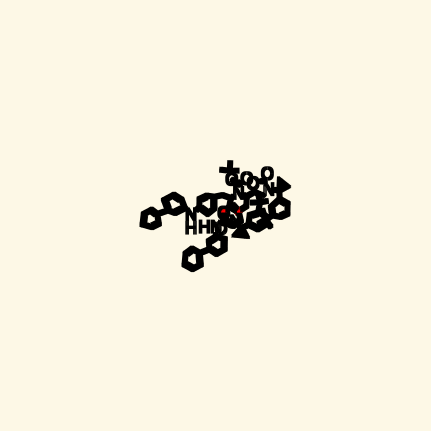 CC(C)(C)OC(=O)N(C(Cc1ccc(Nc2cccc(-c3ccccc3)c2)cc1)C1CN(C2(c3cccc(C(C)(C)C)c3)CC2)C(=O)O1)C(Cc1ccc(Nc2cccc(-c3ccccc3)c2)cc1)C1CN(C2(c3cccc(C(C)(C)C)c3)CC2)C(=O)O1